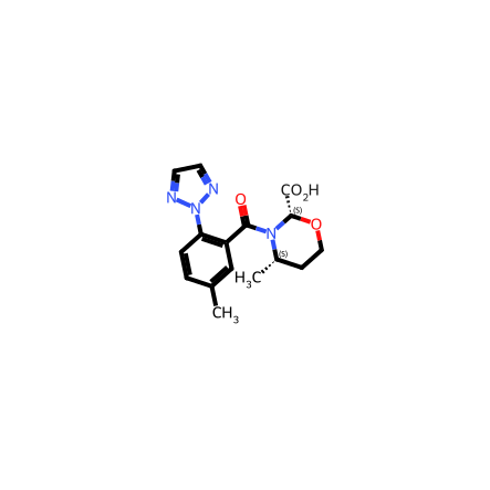 Cc1ccc(-n2nccn2)c(C(=O)N2[C@@H](C)CCO[C@H]2C(=O)O)c1